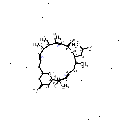 C=C1CC2C/C=C/C(C)C(C)/C(C)=C\C(=O)OC(CC(C)C(C)C)C(C)C/C=C/C(C)(C)C(C)(C1)O2